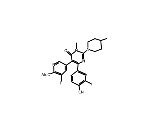 COc1ncc(-c2c(-c3ccc(C#N)c(F)c3)nc(N3CCC(C)CC3)n(C)c2=O)cc1F